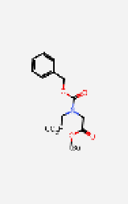 CC(C)(C)OC(=O)CN(CC(=O)O)C(=O)OCc1ccccc1